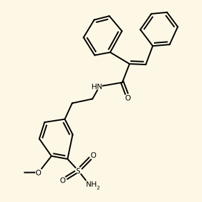 COc1ccc(CCNC(=O)/C(=C/c2ccccc2)c2ccccc2)cc1S(N)(=O)=O